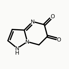 O=C1CN2NC=CC2=NC1=O